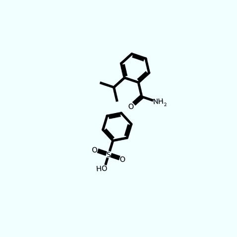 CC(C)c1ccccc1C(N)=O.O=S(=O)(O)c1ccccc1